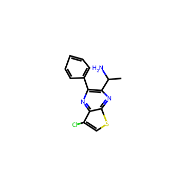 CC(N)c1nc2scc(Cl)c2nc1-c1ccccc1